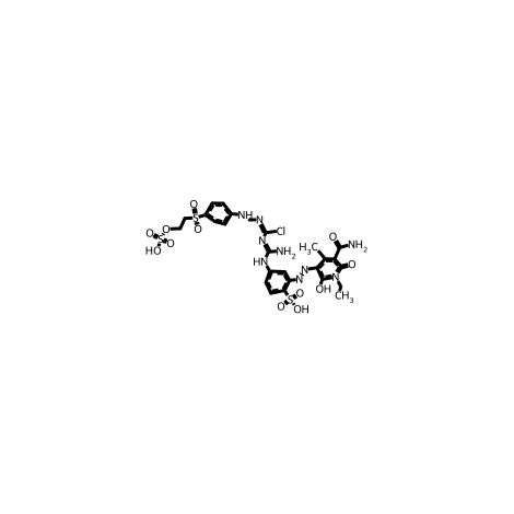 CCn1c(O)c(/N=N/c2cc(N/C(N)=N/C(Cl)=N\CNc3ccc(S(=O)(=O)CCOS(=O)(=O)O)cc3)ccc2S(=O)(=O)O)c(C)c(C(N)=O)c1=O